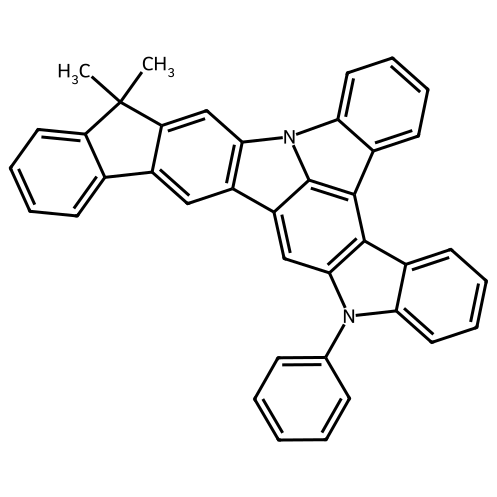 CC1(C)c2ccccc2-c2cc3c4cc5c(c6ccccc6n5-c5ccccc5)c5c6ccccc6n(c3cc21)c45